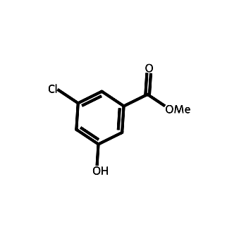 COC(=O)c1cc(O)cc(Cl)c1